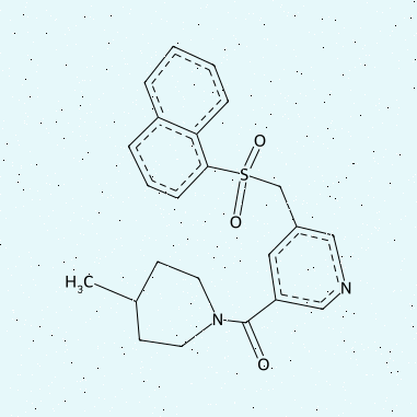 CC1CCN(C(=O)c2cncc(CS(=O)(=O)c3cccc4ccccc34)c2)CC1